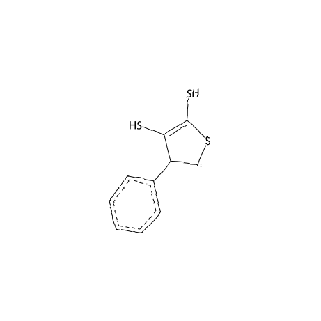 SC1=C(S)C(c2ccccc2)[C]S1